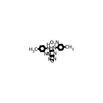 Cc1ccc(Nc2nc3nonc3nc2Nc2ccc(C)cc2[N+](=O)[O-])c([N+](=O)[O-])c1